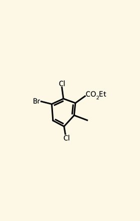 CCOC(=O)c1c(C)c(Cl)cc(Br)c1Cl